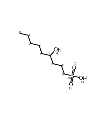 CCCCCC(O)CCCS(=O)(=O)O